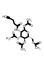 C#CCCC(=O)N[C@@H]1C(OC(C)=O)O[C@H](COC(C)=O)[C@@H](OC(C)=O)[C@@H]1OC(C)=O